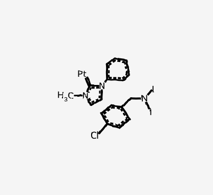 Clc1ccc(CN(I)I)cc1.Cn1ccn(-c2ccccc2)[c]1=[Pt]